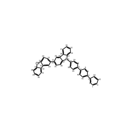 c1ccc(-c2ccc(-c3ccc(-n4c5ccccc5c5cc(-c6ccc7oc8ccccc8c7c6)ccc54)cc3)cc2)cc1